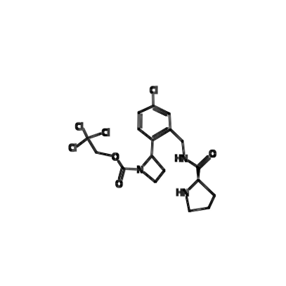 O=C(NCc1cc(Cl)ccc1C1CCN1C(=O)OCC(Cl)(Cl)Cl)[C@H]1CCCN1